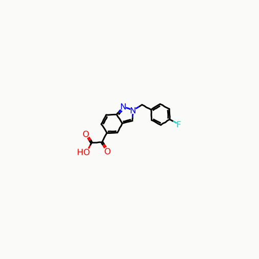 O=C(O)C(=O)c1ccc2nn(Cc3ccc(F)cc3)cc2c1